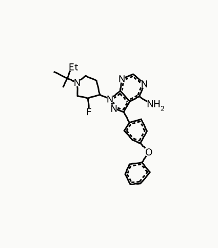 CCC(C)(C)N1CCC(n2nc(-c3ccc(Oc4ccccc4)cc3)c3c(N)ncnc32)C(F)C1